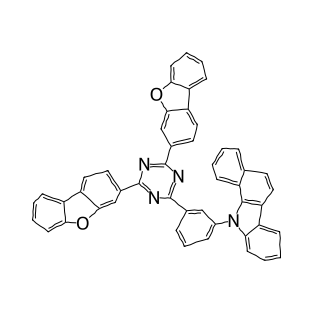 c1cc(-c2nc(-c3ccc4c(c3)oc3ccccc34)nc(-c3ccc4c(c3)oc3ccccc34)n2)cc(-n2c3ccccc3c3ccc4ccccc4c32)c1